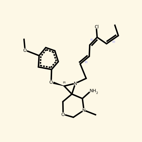 C\C=C/C(Cl)=C\C=C\CN1[C@H](Oc2cccc(OC)c2)C12COCN(C)C2N